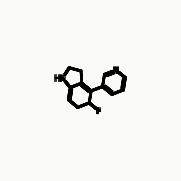 FC1CC=C2NCCC2=C1c1cccnc1